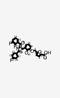 COc1c(OCc2ccc(C(=O)O)o2)cccc1C1SC(c2ccc(F)cc2)=NN1C(=O)c1cccc(F)c1F